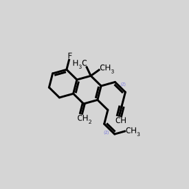 C#C/C=C\C1=C(C/C=C\C)C(=C)C2=C(C(F)=CCC2)C1(C)C